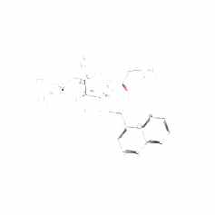 CCC(=O)[C@H]1O[C@@H]2OC(C)(C)O[C@@H]2[C@H]1OCc1cccc2ccccc12